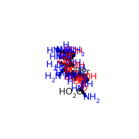 CC(C)C[C@H](NC(=O)[C@H](CO)NC(=O)[C@H](CCCCN)NC(=O)[C@H](CCC(N)=O)NC(=O)[C@@H](NC(=O)[C@H](Cc1ccc(O)cc1)NC(=O)[C@H](Cc1c[nH]cn1)NC(=O)[C@H](CC(N)=O)NC(=O)[C@@H](N)Cc1c[nH]cn1)[C@@H](C)O)C(=O)N[C@@H](CO)C(=O)N[C@@H](CC(C)C)C(=O)N[C@@H](CO)C(=O)N1CCC[C@H]1C(=O)NCC(=O)N[C@@H](CCCCN)C(=O)O